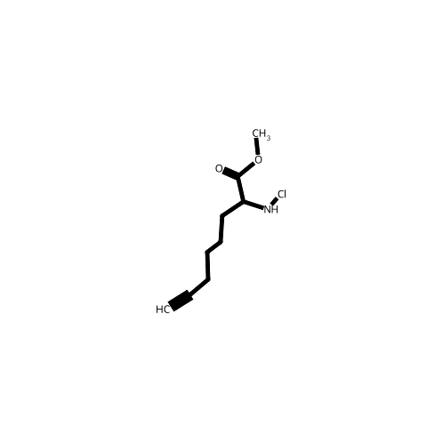 C#CCCCCC(NCl)C(=O)OC